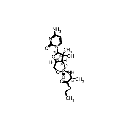 CCOC(=O)[C@H](C)NP1(=O)OC[C@H]2O[C@@H](n3ccc(N)nc3=O)[C@](C)(O)[C@@H]2O1